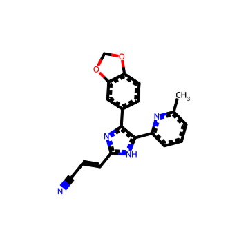 Cc1cccc(-c2[nH]c(C=CC#N)nc2-c2ccc3c(c2)OCO3)n1